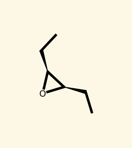 CC[C@@H]1O[C@@H]1CC